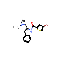 CC(C)(C)N(C[C@H](Cc1ccccc1)NC(=O)c1cc(Br)cs1)C(=O)O